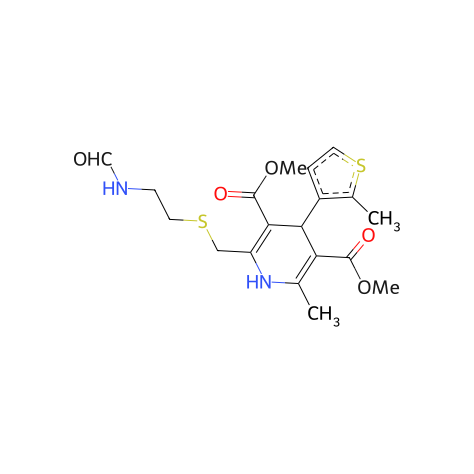 COC(=O)C1=C(C)NC(CSCCNC=O)=C(C(=O)OC)C1c1ccsc1C